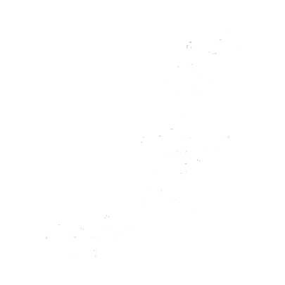 CC(C)(C)OC(=O)/N=C(/N(CCCCCc1nc(C(=N)NC(=O)OC(C)(C)C)cs1)C(=O)OC(C)(C)C)N(CCCOc1ccc(C(=N)NC(=O)OC(C)(C)C)cc1)C(=O)OC(C)(C)C